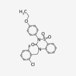 CCOc1ccc(N2C(=O)N(Cc3c(F)cccc3Cl)c3ccccc3S2(=O)=O)cc1